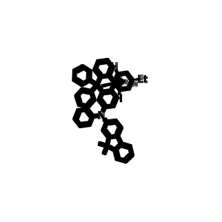 CC[C@@H]1C[C@H]2C[C@H](C)C[C@@H](C1)C21c2ccccc2C(c2ccccc2)(c2ccccc2)c2cc(N(c3ccccc3)c3ccc4c(c3)C(C)(C)c3ccccc3-4)ccc21